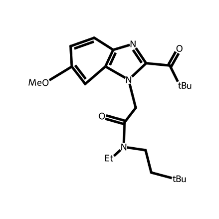 CCN(CCC(C)(C)C)C(=O)Cn1c(C(=O)C(C)(C)C)nc2ccc(OC)cc21